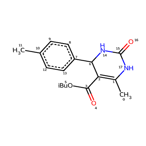 CC1=C(C(=O)OCC(C)C)C(c2ccc(C)cc2)NC(=O)N1